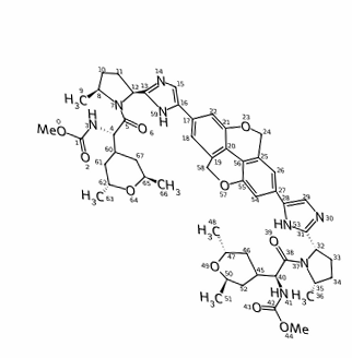 COC(=O)N[C@H](C(=O)N1[C@@H](C)CC[C@H]1c1ncc(-c2cc3c4c(c2)OCc2cc(-c5cnc([C@@H]6CC[C@H](C)N6C(=O)[C@@H](NC(=O)OC)C6C[C@@H](C)O[C@H](C)C6)[nH]5)cc(c2-4)OC3)[nH]1)C1C[C@@H](C)O[C@H](C)C1